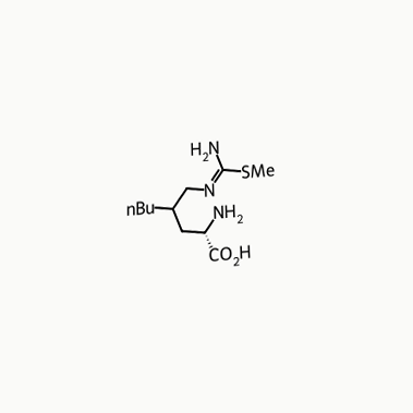 CCCCC(CN=C(N)SC)C[C@H](N)C(=O)O